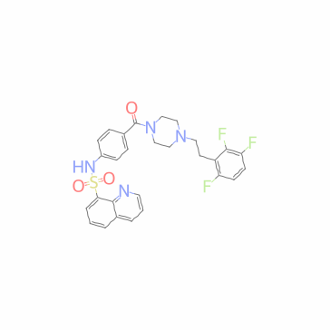 O=C(c1ccc(NS(=O)(=O)c2cccc3cccnc23)cc1)N1CCN(CCc2c(F)ccc(F)c2F)CC1